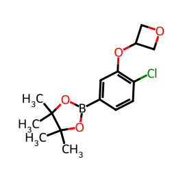 CC1(C)OB(c2ccc(Cl)c(OC3COC3)c2)OC1(C)C